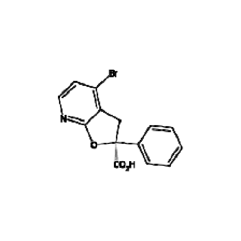 O=C(O)[C@@]1(c2ccccc2)Cc2c(Br)ccnc2O1